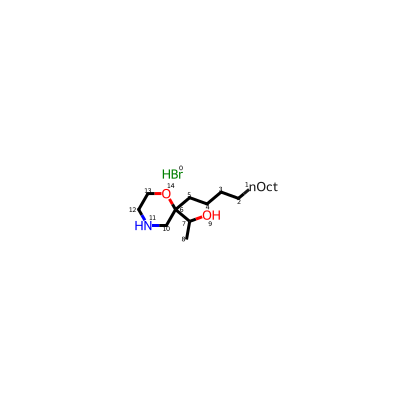 Br.CCCCCCCCCCCCC1(C(C)O)CNCCO1